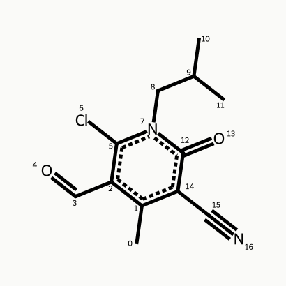 Cc1c(C=O)c(Cl)n(CC(C)C)c(=O)c1C#N